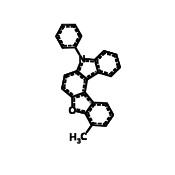 Cc1cccc2c1oc1ccc3c(c4ccccc4n3-c3ccccc3)c12